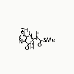 CSC(=O)Nc1nc2c(ncn2C)c(=O)[nH]1